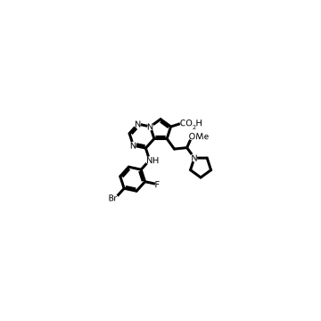 COC(Cc1c(C(=O)O)cn2ncnc(Nc3ccc(Br)cc3F)c12)N1CCCC1